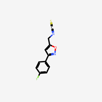 Fc1ccc(-c2cc(CN=C=S)on2)cc1